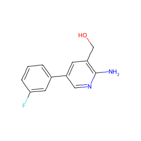 Nc1ncc(-c2cccc(F)c2)cc1CO